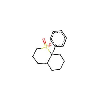 O=S1(=O)CCCC2CCCCC21c1ccccc1